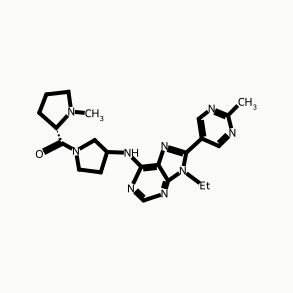 CCn1c(-c2cnc(C)nc2)nc2c(NC3CCN(C(=O)[C@@H]4CCCN4C)C3)ncnc21